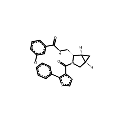 O=C(NC[C@@H]1[C@H]2C[C@H]2CN1C(=O)c1ncsc1-c1ccccc1)c1cccc(Cl)c1